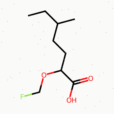 CCC(C)CCC(OCF)C(=O)O